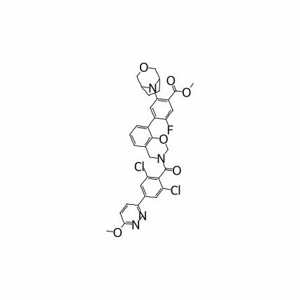 COC(=O)c1cc(F)c(-c2cccc3c2OCN(C(=O)c2c(Cl)cc(-c4ccc(OC)nn4)cc2Cl)C3)cc1N1C2CCC1COC2